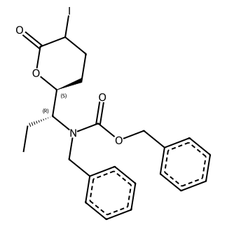 CC[C@H]([C@@H]1CCC(I)C(=O)O1)N(Cc1ccccc1)C(=O)OCc1ccccc1